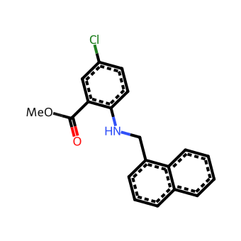 COC(=O)c1cc(Cl)ccc1NCc1cccc2ccccc12